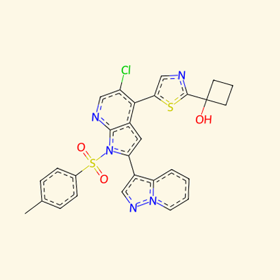 Cc1ccc(S(=O)(=O)n2c(-c3cnn4ccccc34)cc3c(-c4cnc(C5(O)CCC5)s4)c(Cl)cnc32)cc1